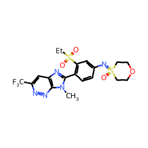 CCS(=O)(=O)c1cc(N=S2(=O)CCOCC2)ccc1-c1nc2cc(C(F)(F)F)nnc2n1C